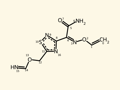 C=CO/N=C(\C(N)=O)c1nsc(COC=N)n1